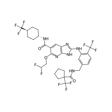 O=C(N[C@H]1CC[C@H](C(F)(F)F)CC1)c1cc2nc(Nc3cc(CNC(=O)C4(C(F)(F)F)CCCC4)ccc3C(F)(F)F)[nH]c2nc1OCC(F)F